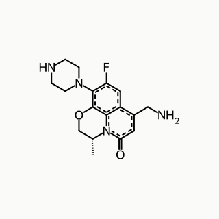 C[C@@H]1COc2c(N3CCNCC3)c(F)cc3c(CN)cc(=O)n1c23